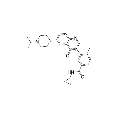 Cc1ccc(C(=O)NC2CC2)cc1-n1cnc2ccc(N3CCN(C(C)C)CC3)cc2c1=O